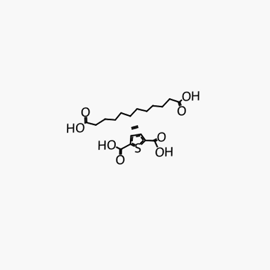 C=C.O=C(O)CCCCCCCCCCC(=O)O.O=C(O)c1ccc(C(=O)O)s1